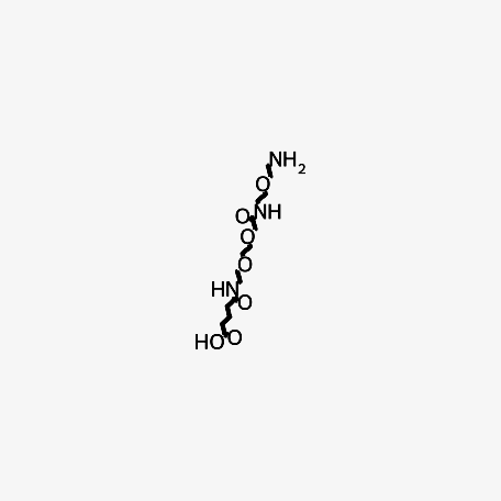 NCCOCCNC(=O)COCCOCCNC(=O)CCCC(=O)O